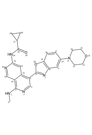 CNc1ncc(-c2nc3cc(N4CCOCC4)ccc3o2)c2cc(NC(=O)C3CC3)ncc12